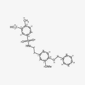 COc1cc(CCNS(=O)(=O)c2ccc(C)c(C(=O)O)c2)ccc1OCc1ccccc1